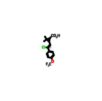 CC1(C)C(/C=C(\Cl)c2ccc(OC(F)(F)F)cc2)C1C(=O)O